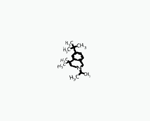 CC(C)N1Cc2ccc(C(C)(C)C)cc2C(C)(C)C1